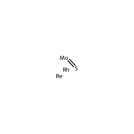 [Re].[Rh].[S]=[Mo]